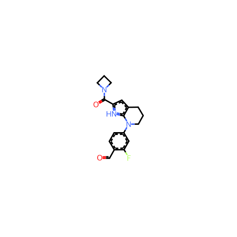 O=Cc1ccc(N2CCCc3cc(C(=O)N4CCC4)[nH]c32)cc1F